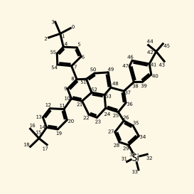 CC(C)(C)c1ccc(-c2cc(-c3ccc(C(C)(C)C)cc3)c3ccc4c(-c5ccc([Si](C)(C)C)cc5)cc(-c5ccc(C(C)(C)C)cc5)c5ccc2c3c54)cc1